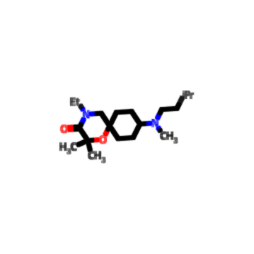 CCN1CC2(CCC(N(C)CCC(C)C)CC2)OC(C)(C)C1=O